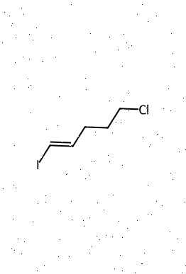 ClCCCC=CI